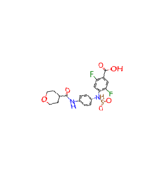 O=C(O)c1cc(F)c(N(c2ccc(NC(=O)C3CCOCC3)cc2)[SH](=O)=O)cc1F